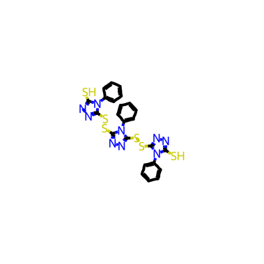 Sc1nnc(SSc2nnc(SSc3nnc(S)n3-c3ccccc3)n2-c2ccccc2)n1-c1ccccc1